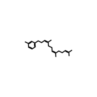 CC(C)=CCCC(C)=CCCC(C)=CCCc1cccc(C)c1